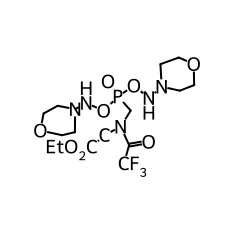 CCOC(=O)CN(CP(=O)(ONN1CCOCC1)ONN1CCOCC1)C(=O)C(F)(F)F